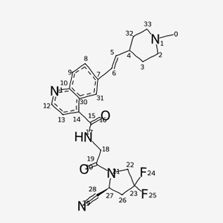 CN1CCC(/C=C/c2ccc3nccc(C(=O)NCC(=O)N4CC(F)(F)C[C@H]4C#N)c3c2)CC1